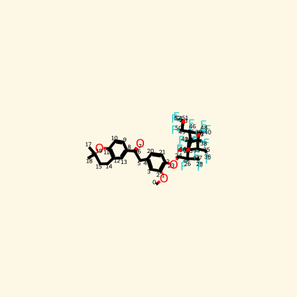 COc1cc(CC(=O)c2ccc3c(c2)CCC(C)(C)O3)ccc1OCC(F)(CF)C(F)(CF)C(F)(CF)C(F)(CF)C(F)(CF)C(F)(CF)C(F)(CF)CF